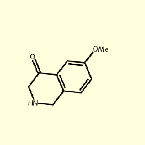 COc1ccc2c(c1)C(=O)CNC2